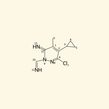 Cc1c(C2CC2)c(Cl)nn(C=N)c1=N